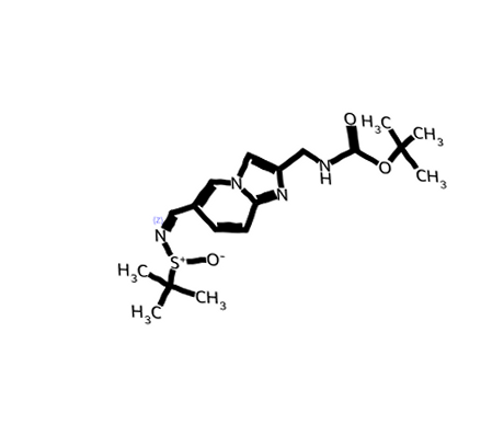 CC(C)(C)OC(=O)NCc1cn2cc(/C=N\[S+]([O-])C(C)(C)C)ccc2n1